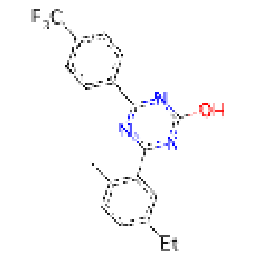 CCc1ccc(C)c(-c2nc(O)nc(-c3ccc(C(F)(F)F)cc3)n2)c1